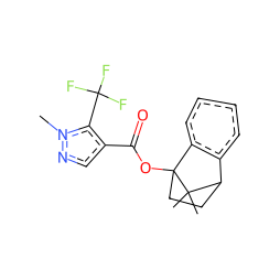 Cn1ncc(C(=O)OC23CCC(c4ccccc42)C3(C)C)c1C(F)(F)F